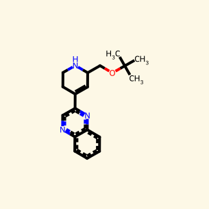 CC(C)(C)OCC1C=C(c2cnc3ccccc3n2)CCN1